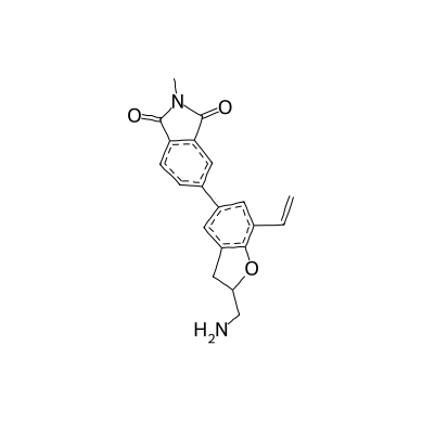 C=Cc1cc(-c2ccc3c(c2)C(=O)N(C)C3=O)cc2c1OC(CN)C2